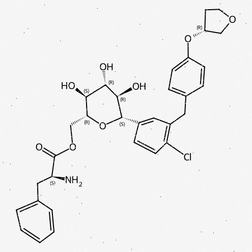 N[C@@H](Cc1ccccc1)C(=O)OC[C@H]1O[C@@H](c2ccc(Cl)c(Cc3ccc(O[C@@H]4CCOC4)cc3)c2)[C@H](O)[C@@H](O)[C@@H]1O